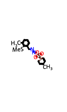 CSc1c(C)cccc1CN=NOS(=O)(=O)S1=CC=C(C)C=C1